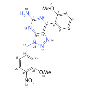 COc1ccccc1-c1nc(N)nc2c1nnn2Cc1ccc([N+](=O)[O-])c(OC)c1